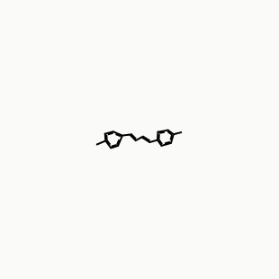 Cc1ccc(/C=C/C=C/c2ccc(C)cc2)cc1